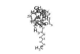 CCCCCCCCN=C(C)C(C)(C)[N](c1c(C(C)C)cccc1C(C)C)[Hf]([CH3])([CH3])[CH3]